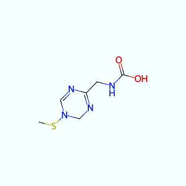 CSN1C=NC(CNC(=O)O)=NC1